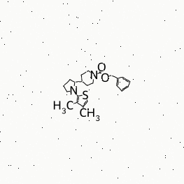 Cc1csc(N2CCCC2C2CCN(C(=O)OCc3ccccc3)CC2)c1C